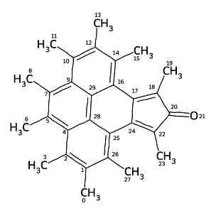 Cc1c(C)c2c(C)c(C)c3c(C)c(C)c(C)c4c5c(C)c(=O)c(C)c5c(c1C)c2c34